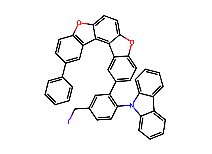 ICc1ccc(-n2c3ccccc3c3ccccc32)c(-c2ccc3oc4ccc5oc6ccc(-c7ccccc7)cc6c5c4c3c2)c1